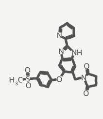 CS(=O)(=O)c1ccc(Oc2cc3nc(-c4ccccn4)[nH]c3cc2CN2C(=O)CCC2=O)cc1